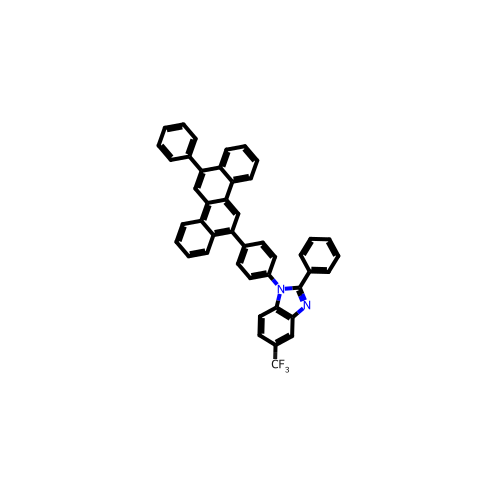 FC(F)(F)c1ccc2c(c1)nc(-c1ccccc1)n2-c1ccc(-c2cc3c4ccccc4c(-c4ccccc4)cc3c3ccccc23)cc1